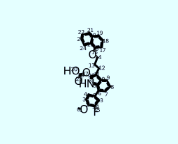 COc1ccc(-c2cccc3c(CCCOc4cccc5ccccc45)c(OC(=O)O)[nH]c23)cc1F